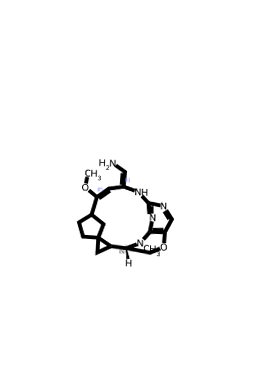 CO/C1=C/C(=C\N)Nc2ncc3c(n2)N(C)[C@H](CO3)C2CC23CCC1C3